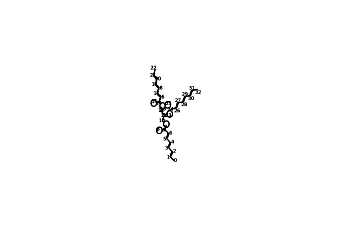 C/C=C/C=C/C=C/C(=O)OCC(COC(=O)/C=C/C=C/C=C/C)OC(=O)/C=C/C=C/C=C/C